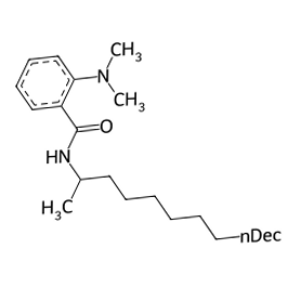 CCCCCCCCCCCCCCCCC(C)NC(=O)c1ccccc1N(C)C